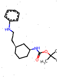 CC(C)(C)OC(=O)N[C@H]1CCC[C@@H](CCNc2ccccc2)C1